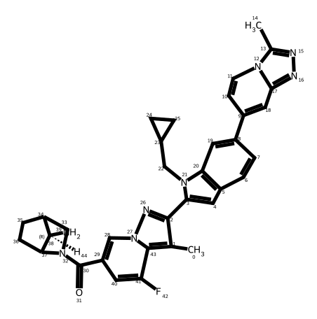 Cc1c(-c2cc3ccc(-c4ccn5c(C)nnc5c4)cc3n2CC2CC2)nn2cc(C(=O)N3CC4CCC3[C@@H]4N)cc(F)c12